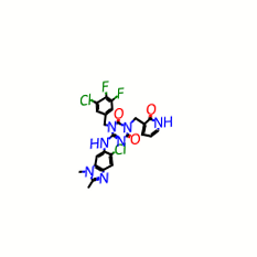 Cc1nc2cc(Cl)c(Nc3nc(=O)n(Cc4ccc[nH]c4=O)c(=O)n3Cc3cc(F)c(F)c(Cl)c3)cc2n1C